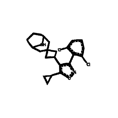 Clc1cccc(Cl)c1-c1noc(C2CC2)c1C1CC2(CC3CCC(C2)N3)C1